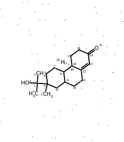 CC(C)(O)C1(C)CCC2C(CCC3=CC(=O)CC[C@@H]32)C1